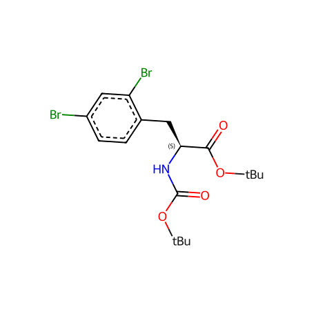 CC(C)(C)OC(=O)N[C@@H](Cc1ccc(Br)cc1Br)C(=O)OC(C)(C)C